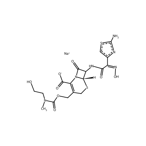 CN(CCO)C(=O)OCC1=C(C(=O)[O-])N2C(=O)C(NC(=O)/C(=N\O)c3csc(N)n3)[C@@H]2SC1.[Na+]